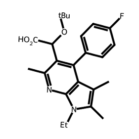 CCn1c(C)c(C)c2c(-c3ccc(F)cc3)c(C(OC(C)(C)C)C(=O)O)c(C)nc21